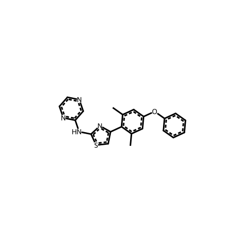 Cc1cc(Oc2ccccc2)cc(C)c1-c1csc(Nc2cnccn2)n1